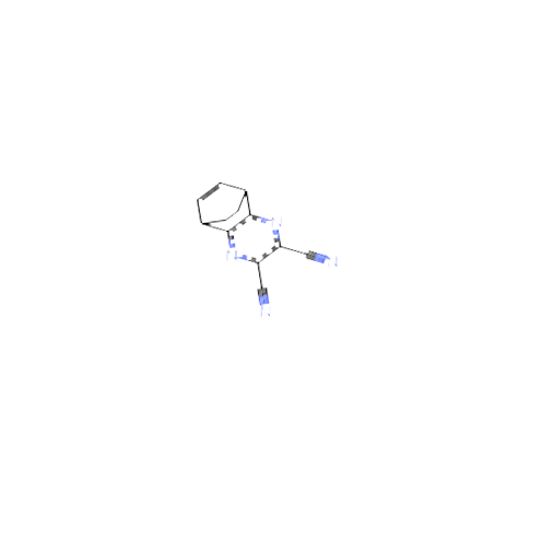 N#Cc1nc2c(nc1C#N)C1C=CC2CC1